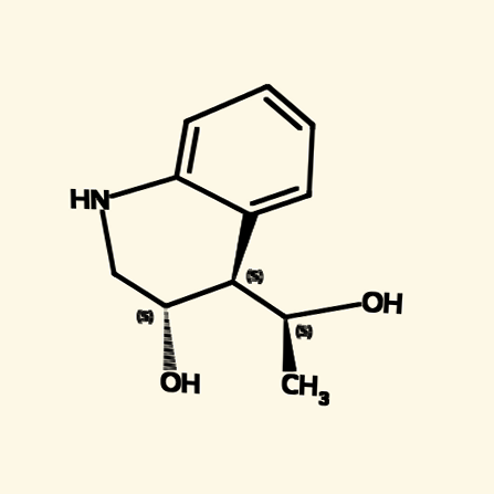 C[C@H](O)[C@@H]1c2ccccc2NC[C@H]1O